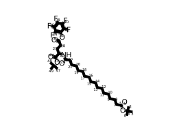 CC(C)(C)OC(=O)CCCCCCCCCCCCCCCCC(=O)NC(CCC(=O)Oc1c(F)c(F)c(F)c(F)c1F)C(=O)OC(C)(C)C